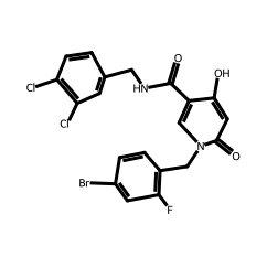 O=C(NCc1ccc(Cl)c(Cl)c1)c1cn(Cc2ccc(Br)cc2F)c(=O)cc1O